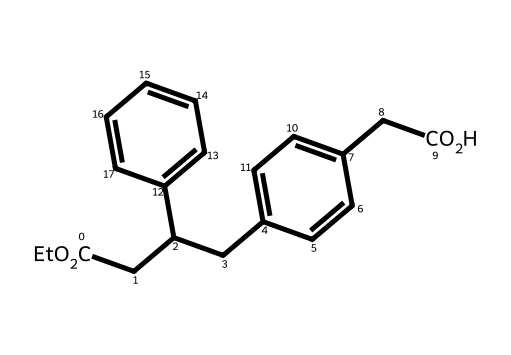 CCOC(=O)CC(Cc1ccc(CC(=O)O)cc1)c1ccccc1